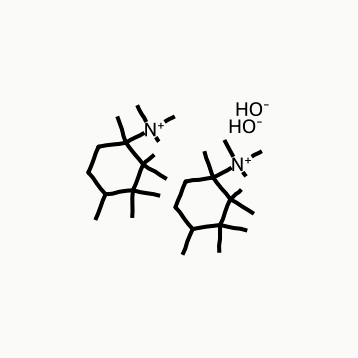 CC1CCC(C)([N+](C)(C)C)C(C)(C)C1(C)C.CC1CCC(C)([N+](C)(C)C)C(C)(C)C1(C)C.[OH-].[OH-]